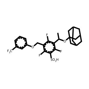 CC(OC12CC3CC(CC(C3)C1)C2)c1c(F)c(COc2cccc(C(F)(F)F)c2)c(F)c(S(=O)(=O)O)c1F